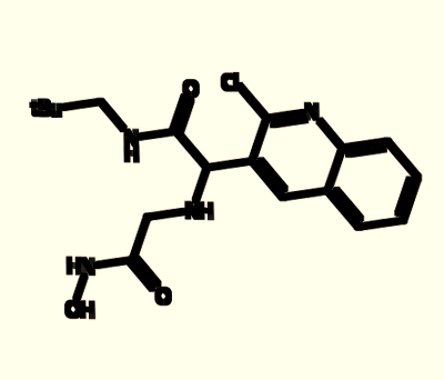 CC(C)(C)CNC(=O)C(NCC(=O)NO)c1cc2ccccc2nc1Cl